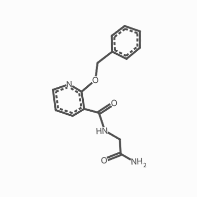 NC(=O)CNC(=O)c1cccnc1OCc1ccccc1